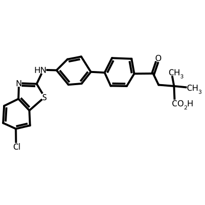 CC(C)(CC(=O)c1ccc(-c2ccc(Nc3nc4ccc(Cl)cc4s3)cc2)cc1)C(=O)O